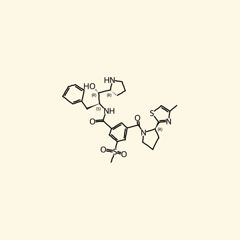 Cc1csc([C@H]2CCCN2C(=O)c2cc(C(=O)N[C@@H](Cc3ccccc3)[C@H](O)[C@H]3CCCN3)cc(S(C)(=O)=O)c2)n1